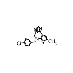 Cc1cc2c(s1)N(Cc1ccc(Cl)cc1)Cn1ncnc1-2